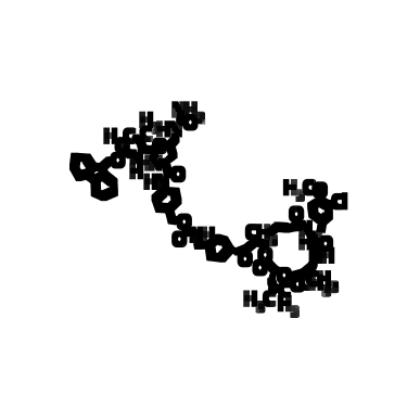 COc1ccc(C[C@H]2NC(=O)/C=C/C[C@@H]([C@H](C)[C@@H]3O[C@H]3c3ccc(CNC(=O)OCc4ccc(NC(=O)[C@H](CCCNC(N)=O)NC(=O)C(NC(=O)OCC5c6ccccc6-c6ccccc65)C(C)C)cc4)cc3)OC(=O)[C@H](CC(C)C)OC(=O)C(C)(C)CNC2=O)cc1Cl